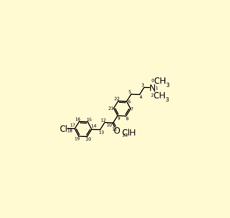 CN(C)CCCc1ccc(C(=O)CCc2ccc(Cl)cc2)cc1.Cl